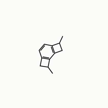 CC1Cc2c1ccc1c2C(C)C1